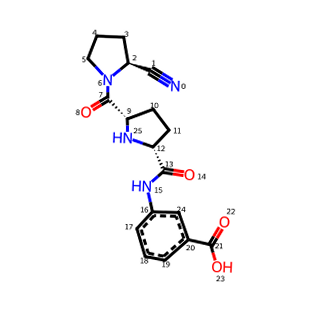 N#C[C@@H]1CCCN1C(=O)[C@@H]1CC[C@H](C(=O)Nc2cccc(C(=O)O)c2)N1